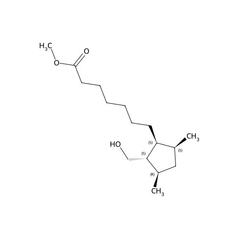 COC(=O)CCCCCC[C@@H]1[C@@H](CO)[C@H](C)C[C@@H]1C